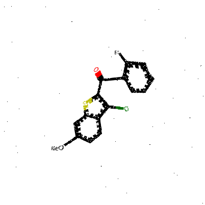 CCc1ccccc1C(=O)c1sc2cc(OC)ccc2c1Cl